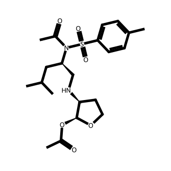 CC(=O)O[C@@H]1OCC[C@@H]1NC[C@@H](CC(C)C)N(C(C)=O)S(=O)(=O)c1ccc(C)cc1